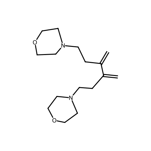 C=C(CCN1CCOCC1)C(=C)CCN1CCOCC1